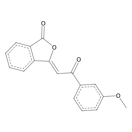 COc1cccc(C(=O)C=C2OC(=O)c3ccccc32)c1